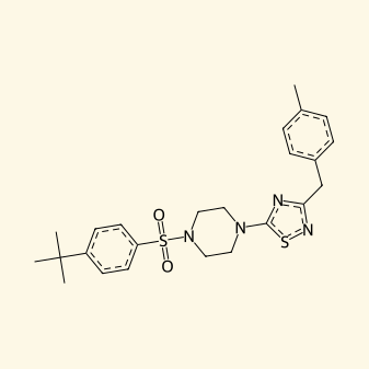 Cc1ccc(Cc2nsc(N3CCN(S(=O)(=O)c4ccc(C(C)(C)C)cc4)CC3)n2)cc1